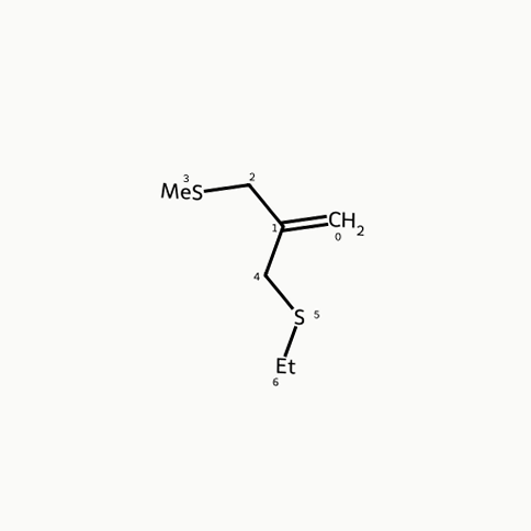 C=C(CSC)CSCC